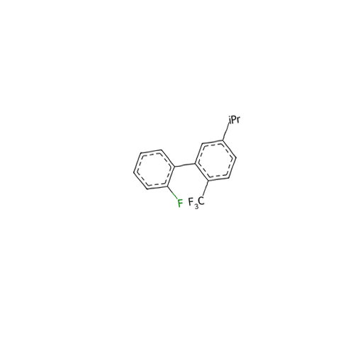 CC(C)c1ccc(C(F)(F)F)c(-c2ccccc2F)c1